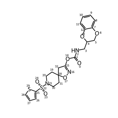 O=C(NCC1COc2ccccc2O1)OC1=NOC2(CCN(S(=O)(=O)c3cccs3)CC2)C1